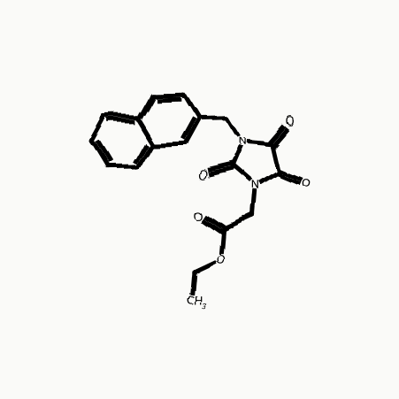 CCOC(=O)CN1C(=O)C(=O)N(Cc2ccc3ccccc3c2)C1=O